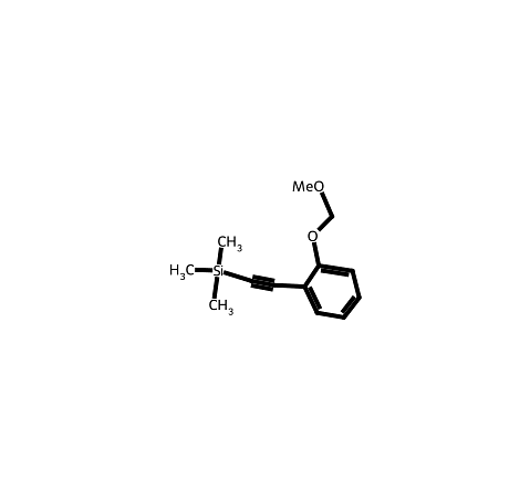 COCOc1ccccc1C#C[Si](C)(C)C